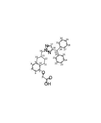 O=C(O)COc1cccc2c1CCC(Cn1ncc(C(c3ccccc3)c3ccccc3)n1)C2